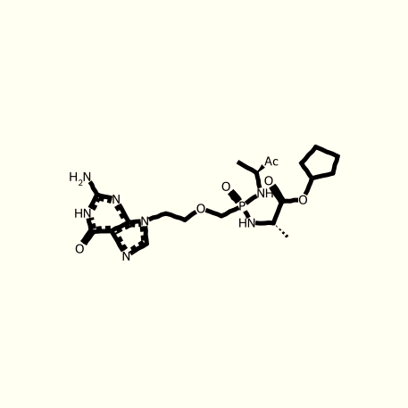 CC(=O)[C@H](C)NP(=O)(COCCn1cnc2c(=O)[nH]c(N)nc21)N[C@@H](C)C(=O)OC1CCCC1